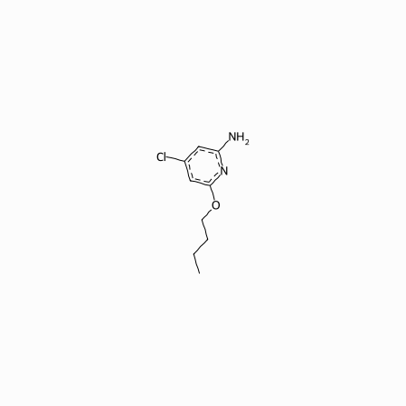 CCCCOc1cc(Cl)cc(N)n1